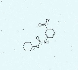 O=C(Nc1cccc([N+](=O)[O-])c1)OC1CCCCC1